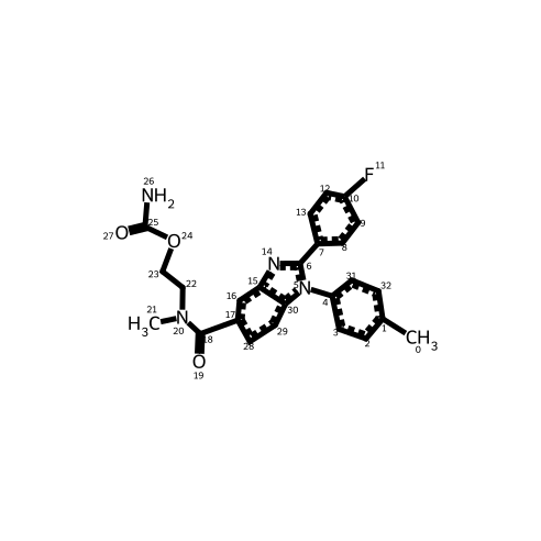 Cc1ccc(-n2c(-c3ccc(F)cc3)nc3cc(C(=O)N(C)CCOC(N)=O)ccc32)cc1